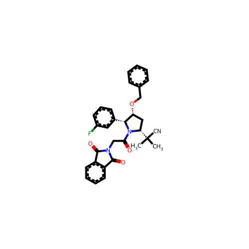 CC(C)(C#N)[C@H]1C[C@@H](OCc2ccccc2)[C@@H](c2cccc(F)c2)N1C(=O)CN1C(=O)c2ccccc2C1=O